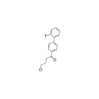 O=C(CCCCl)c1ccc(-c2ccccc2F)cc1